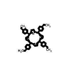 C=Cc1ccc(-c2c3nc(c(-c4ccc(C=C)cc4)c4ccc([nH]4)c(-c4ccc(C=C)cc4)c4nc(c(-c5ccc(C=C)cc5)c5ccc2[nH]5)C=C4)C=C3)cc1